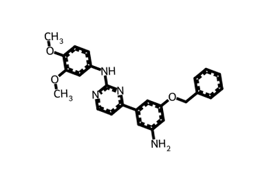 COc1ccc(Nc2nccc(-c3cc(N)cc(OCc4ccccc4)c3)n2)cc1OC